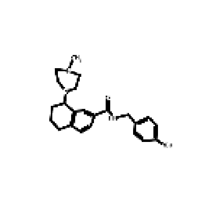 CN1CCN(C2CCCc3ccc(C(=O)NCc4ccc(C(C)(C)C)cc4)cc32)CC1